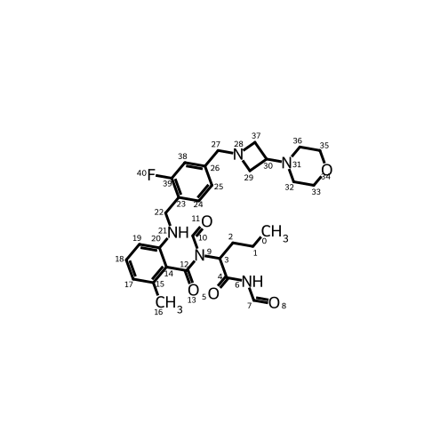 CCCC(C(=O)NC=O)N(C=O)C(=O)c1c(C)cccc1NCc1ccc(CN2CC(N3CCOCC3)C2)cc1F